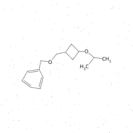 CC(C)OC1CC(COCc2ccccc2)C1